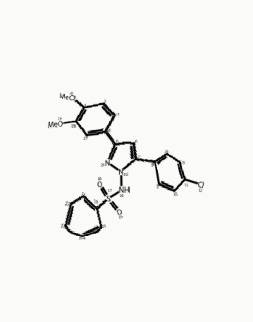 COc1ccc(-c2cc(-c3ccc(Cl)cc3)n(NS(=O)(=O)c3ccccc3)n2)cc1OC